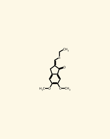 CCSC=C1Cc2cc(OC)c(OC)cc2C1=O